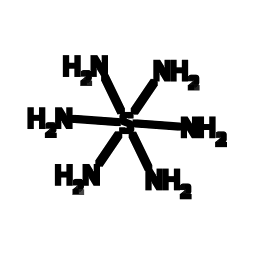 NS(N)(N)(N)(N)N